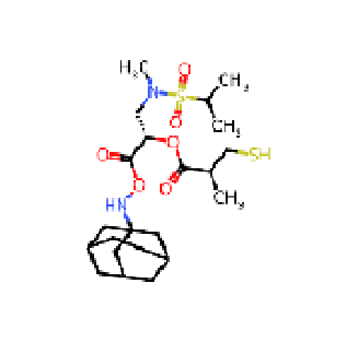 CC(C)S(=O)(=O)N(C)C[C@H](OC(=O)[C@H](C)CS)C(=O)ONC12CC3CC(CC(C3)C1)C2